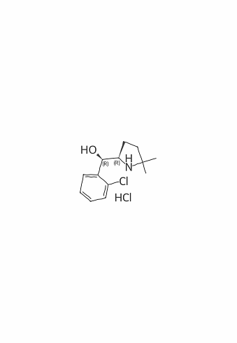 CC1(C)CC[C@H]([C@H](O)c2ccccc2Cl)N1.Cl